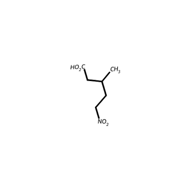 CC(CC[N+](=O)[O-])CC(=O)O